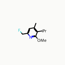 COc1nc(CF)cc(C)c1C(C)C